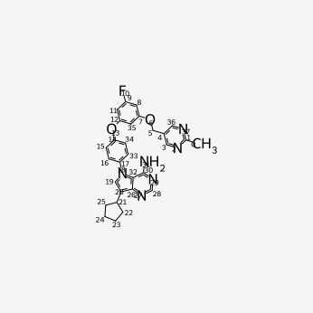 Cc1ncc(COc2cc(F)cc(Oc3ccc(-n4cc(C5CCCC5)c5ncnc(N)c54)cc3)c2)cn1